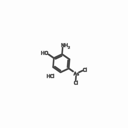 Cl.Nc1cc([As](Cl)Cl)ccc1O